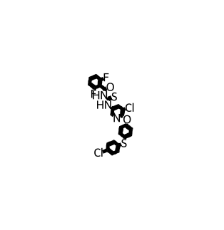 O=C(NC(=S)Nc1cnc(Oc2ccc(Sc3ccc(Cl)cc3)cc2)c(Cl)c1)c1c(F)cccc1F